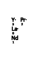 [La].[Nd].[Pr].[Y]